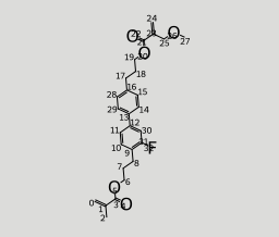 C=C(C)C(=O)OCCCc1ccc(-c2ccc(CCCOC(=O)C(=C)COC)cc2)cc1F